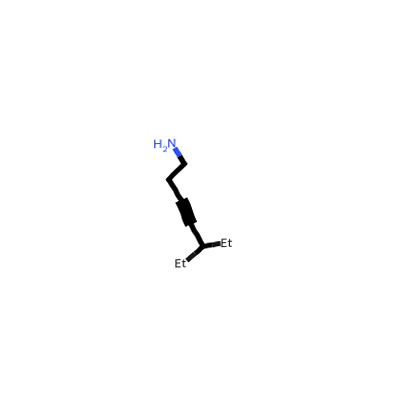 CCC(C#CCCN)CC